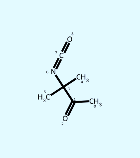 CC(=O)C(C)(C)N=C=O